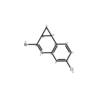 Clc1ccc2c(c1)N=C(Br)C1CC21